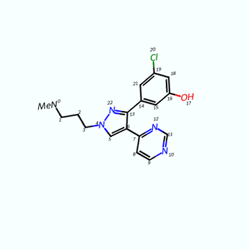 CNCCCn1cc(-c2ccncn2)c(-c2cc(O)cc(Cl)c2)n1